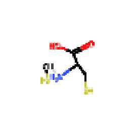 CS.NC(CS)C(=O)O